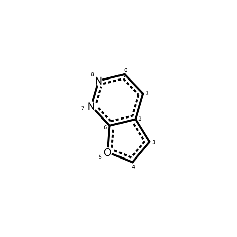 [c]1cc2ccoc2nn1